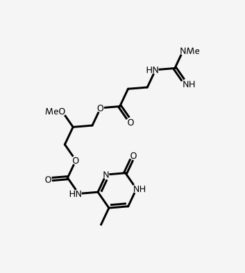 CNC(=N)NCCC(=O)OCC(COC(=O)Nc1nc(=O)[nH]cc1C)OC